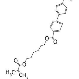 C=C(C)C(=O)OCCCCCCOC(=O)c1ccc(-c2ccc(C)cc2)cc1